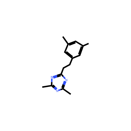 Cc1cc(C)cc(CCc2nc(C)nc(C)n2)c1